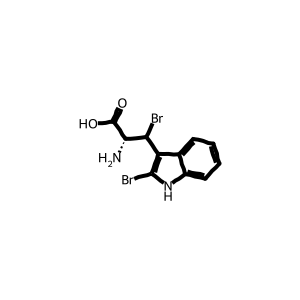 N[C@H](C(=O)O)C(Br)c1c(Br)[nH]c2ccccc12